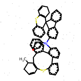 CC1CC=CC2=C1Cc1ccccc1-c1c(cccc1N(c1ccccc1)c1ccc3c(c1)C1(C4=C(C=CCC4)Sc4ccccc41)c1ccccc1-3)-c1ccccc1S2